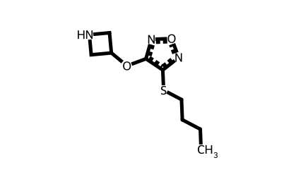 CCCCSc1nonc1OC1CNC1